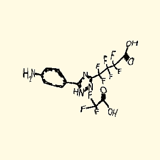 Nc1ccc(-c2nc(C(F)(F)C(F)(F)C(F)(F)C(=O)O)n[nH]2)cc1.O=C(O)C(F)(F)F